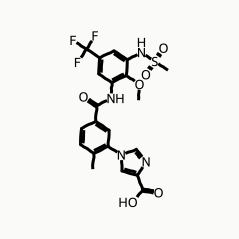 COc1c(NC(=O)c2ccc(C)c(-n3cnc(C(=O)O)c3)c2)cc(C(F)(F)F)cc1NS(C)(=O)=O